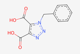 O=C(O)c1nnn(Cc2ccccc2)c1C(=O)O